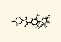 CN1CCC(NC(=O)c2cc(O)c(N3CC(=O)NS3(=O)=O)c(F)c2)CC1